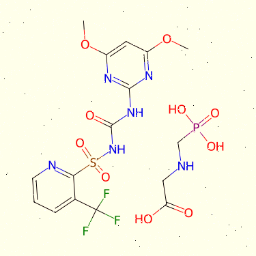 COc1cc(OC)nc(NC(=O)NS(=O)(=O)c2ncccc2C(F)(F)F)n1.O=C(O)CNCP(=O)(O)O